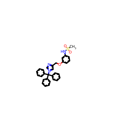 CS(=O)(=O)Nc1cccc(OCc2cn(C(c3ccccc3)(c3ccccc3)c3ccccc3)cn2)c1